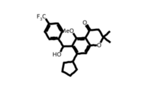 COc1c2c(cc(C3CCCC3)c1C(O)c1ccc(C(F)(F)F)cc1)OC(C)(C)CC2=O